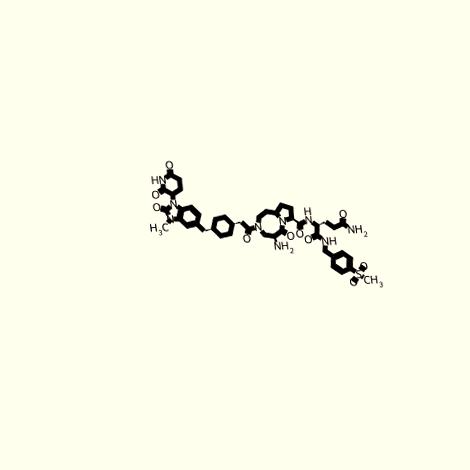 Cn1c(=O)n(C2CCC(=O)NC2=O)c2ccc(C[C@H]3CC[C@@H](CC(=O)N4CCC5CC[C@@H](C(=O)N[C@H](CCC(N)=O)C(=O)NCc6ccc(S(C)(=O)=O)cc6)N5C(=O)[C@@H](N)C4)CC3)cc21